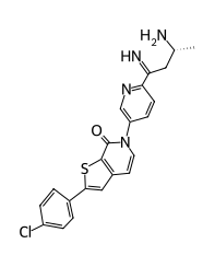 C[C@@H](N)CC(=N)c1ccc(-n2ccc3cc(-c4ccc(Cl)cc4)sc3c2=O)cn1